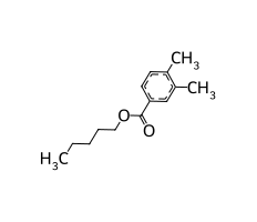 CCCCCOC(=O)c1ccc(C)c(C)c1